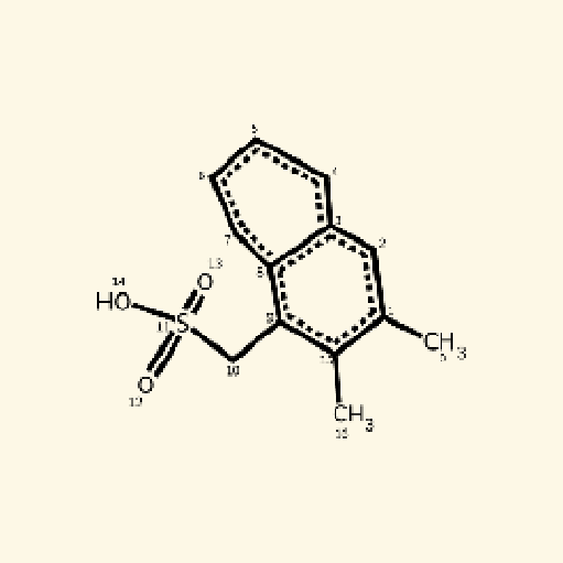 Cc1cc2ccccc2c(CS(=O)(=O)O)c1C